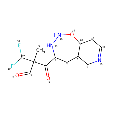 CC(C=O)(C(=O)C1CC2CN=CCC2ONN1)C(F)F